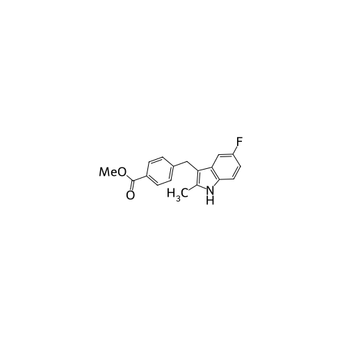 COC(=O)c1ccc(Cc2c(C)[nH]c3ccc(F)cc23)cc1